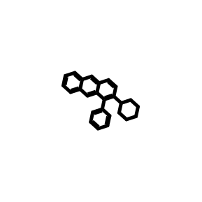 c1ccc(-c2c(C3CCCCC3)ccc3cc4ccccc4cc23)cc1